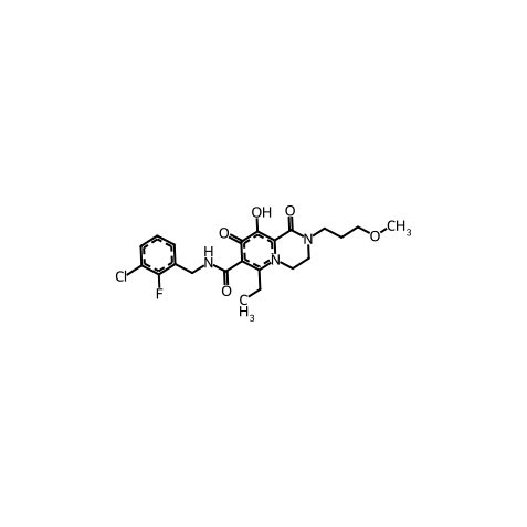 CCc1c(C(=O)NCc2cccc(Cl)c2F)c(=O)c(O)c2n1CCN(CCCOC)C2=O